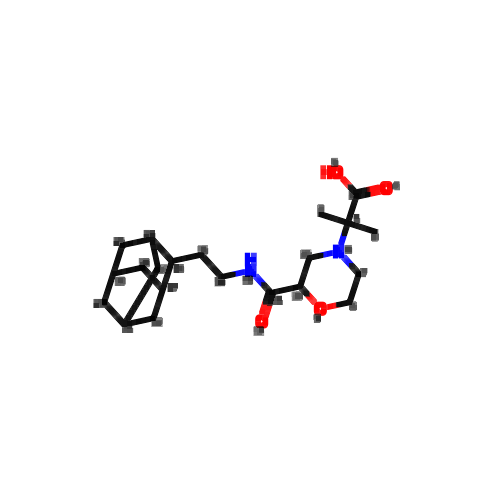 CC(C)(C(=O)O)N1CCOC(C(=O)NCCC2C3CC4CC(C3)CC2C4)C1